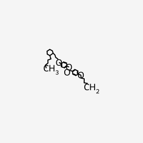 C=CCCCOc1ccc(C(=O)Oc2ccc(OCCCC3CCCCC3CCCCC)cc2)cc1